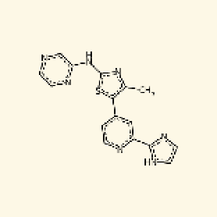 Cc1nc(Nc2cnccn2)sc1-c1ccnc(-c2ncc[nH]2)c1